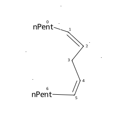 CCCCC/C=C\C/C=C\CCCCC